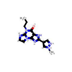 CCCn1c(=O)c2[nH]c(-c3cnn(C)c3)nc2n2ccnc12